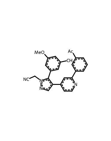 COc1cc(C)cc(-c2c(-c3ccnc(-c4cccc(C(C)=O)c4)c3)cnn2CC#N)c1